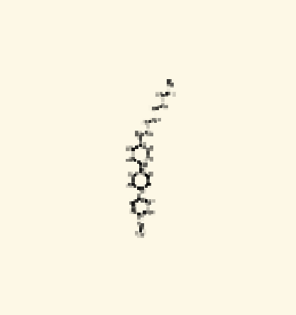 N#Cc1ccc([C@H]2CC[C@H]([C@H]3CC[C@H](CCCCCCC=CF)CC3)CC2)cc1